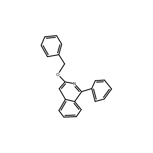 c1ccc(COc2cc3ccccc3c(-c3ccccc3)n2)cc1